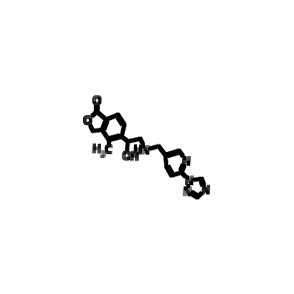 Cc1c(C(O)CNCc2ccc(-n3cncn3)nc2)ccc2c1COC2=O